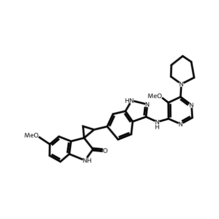 COc1ccc2c(c1)C1(CC1c1ccc3c(Nc4ncnc(N5CCCCC5)c4OC)n[nH]c3c1)C(=O)N2